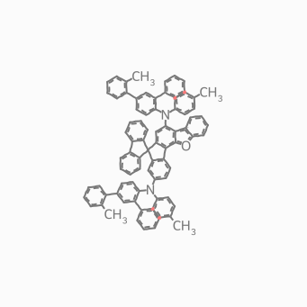 Cc1ccc(N(c2ccc3c(c2)C2(c4ccccc4-c4ccccc42)c2cc(N(c4ccc(C)cc4)c4ccc(-c5ccccc5C)cc4-c4ccccc4)c4c(oc5ccccc54)c2-3)c2ccc(-c3ccccc3C)cc2-c2ccccc2)cc1